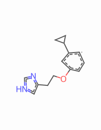 [c]1ccc(OCCc2c[nH]cn2)cc1C1CC1